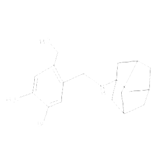 Cc1cc(CO)c(CNC23CC4CC(CC(C4)C2)C3)cc1Br